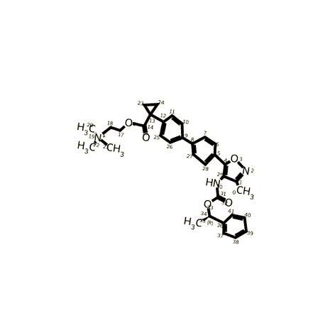 Cc1noc(-c2ccc(-c3ccc(C4(C(=O)OCC[N+](C)(C)C)CC4)cc3)cc2)c1NC(=O)O[C@H](C)c1ccccc1